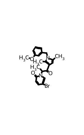 COc1cccc(Cn2c(C)cc(C(=O)C(C)n3cc(Br)ccc3=O)c2C)c1